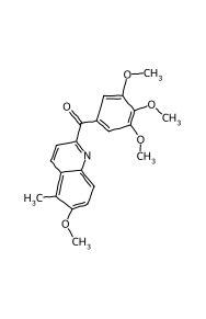 COc1cc(C(=O)c2ccc3c(C)c(OC)ccc3n2)cc(OC)c1OC